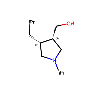 CC(C)C[C@H]1CN(C(C)C)C[C@H]1CO